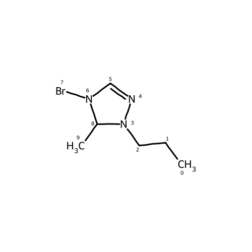 CCCN1N=CN(Br)C1C